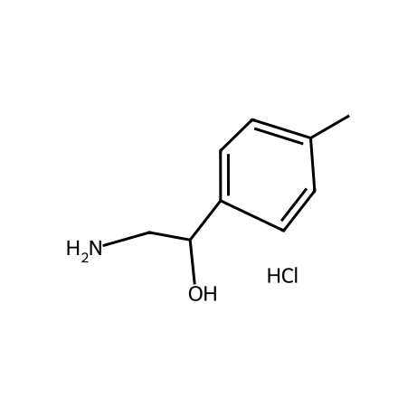 Cc1ccc(C(O)CN)cc1.Cl